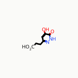 O=C(O)CCc1cc(O)c(=O)[nH]n1